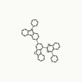 c1ccc(-c2nc(-c3cc(-c4ccc5c(c4)c4ccccc4n5-c4ccccc4)cc4oc5ccccc5c34)nc3ccccc23)cc1